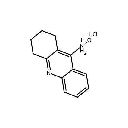 Cl.Nc1c2c(nc3ccccc13)CCCC2.O